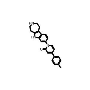 Cc1ccc(-c2ccn(-c3ccc4c5c([nH]c4c3)CCNCC5)c(=O)c2)cc1